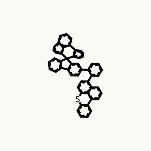 c1ccc2c(c1)Sc1ccc(-c3ccccc3-c3ccc4c(c3)C3(c5ccccc5-4)c4ccccc4-c4cccc5cccc3c45)c3cccc-2c13